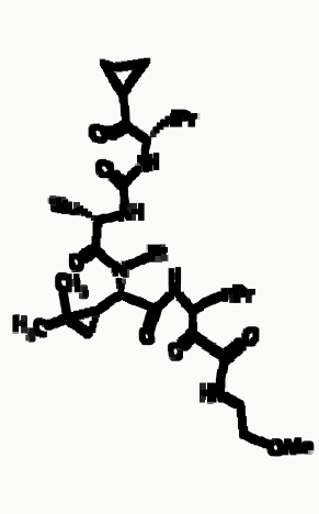 CCCC(NC(=O)[C@H]([C@@H]1CC1(C)C)N(CC)C(=O)[C@@H](NC(=O)N[C@H](C(=O)C1CC1)C(C)C)C(C)(C)C)C(=O)C(=O)NCCOC